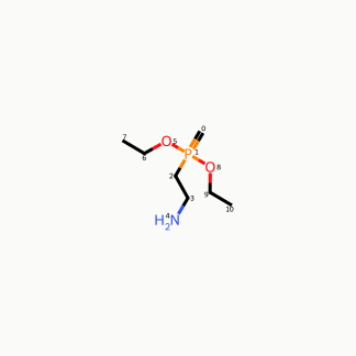 C=P(CCN)(OCC)OCC